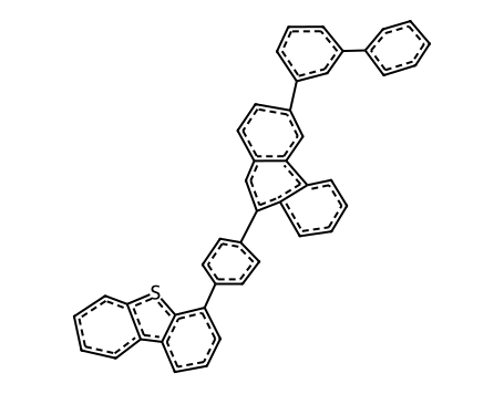 c1ccc(-c2cccc(-c3ccc4cc(-c5ccc(-c6cccc7c6sc6ccccc67)cc5)c5ccccc5c4c3)c2)cc1